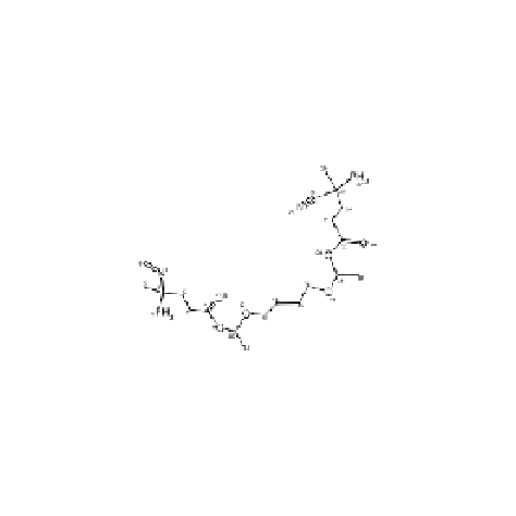 C=NC(C)(P)CCC(=O)OC(C)OCCCCOC(C)OC(=O)CCC(C)(P)C#N